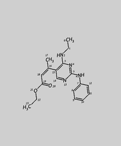 CCNc1nc(Nc2ccccc2)ncc1/C(C)=C\C(=O)OCC